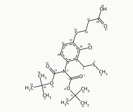 CSCc1c(N(C(=O)OC(C)(C)C)C(=O)OC(C)(C)C)ccc(SCCC(=O)O)c1Cl